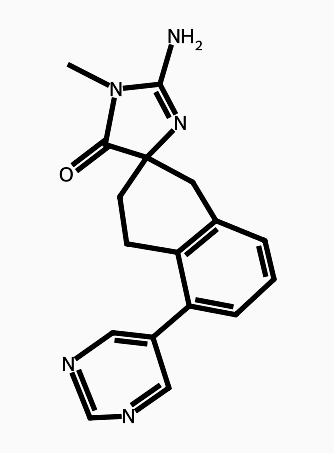 CN1C(=O)C2(CCc3c(cccc3-c3cncnc3)C2)N=C1N